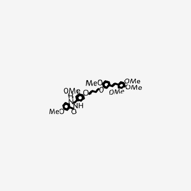 COc1ccc2c(c1)C(=O)NC(c1ccc(OCCCCOc3cc(/C=C/c4cc(OC)c(OC)c(OC)c4)ccc3OC)c(OC)c1)N2